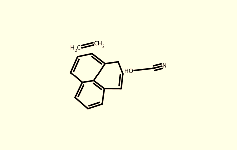 C1=Cc2cccc3cccc(c23)C1.C=C.N#CO